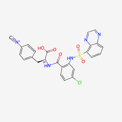 [C-]#[N+]c1ccc(C[C@H](NC(=O)c2ccc(Cl)cc2NS(=O)(=O)c2cccc3nccnc23)C(=O)O)cc1